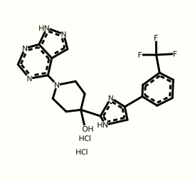 Cl.Cl.OC1(c2nc(-c3cccc(C(F)(F)F)c3)c[nH]2)CCN(c2ncnc3[nH]ncc23)CC1